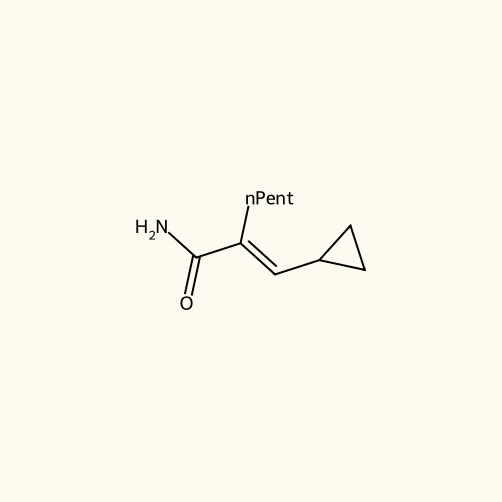 CCCCC/C(=C\C1CC1)C(N)=O